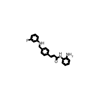 Nc1ccccc1NC(=O)/C=C/c1ccc(CNc2cccc(F)c2)cc1